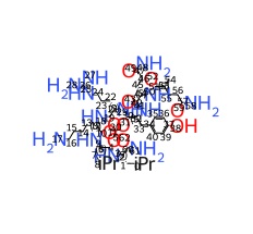 CC(C)C[C@H](NC(=O)[C@H](CC(C)C)NC(=O)[C@H](CCCCN)NC(=O)[C@H](CCCNC(=N)N)NC(=O)[C@H](Cc1ccc(O)cc1)NC(=O)[C@H](CCC(N)=O)NC(=O)[C@@H](C)CCC(N)=O)C(N)=O